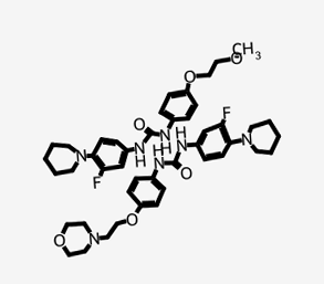 COCCOc1ccc(NC(=O)Nc2ccc(N3CCCCC3)c(F)c2)cc1.O=C(Nc1ccc(OCCN2CCOCC2)cc1)Nc1ccc(N2CCCCC2)c(F)c1